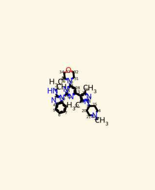 CNc1nc2ccccc2n1-c1nc(-c2c(C)nn(C3CCN(C)CC3)c2C)cc(N2CCOC[C@H]2C)n1